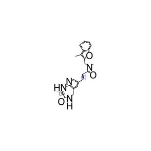 Cc1c(CN(C)C(=O)/C=C/c2cnc3c(c2)CNC(=O)[C@H](C)N3)oc2ccccc12